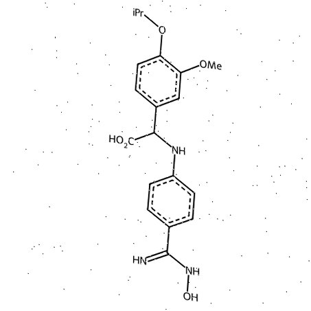 COc1cc(C(Nc2ccc(C(=N)NO)cc2)C(=O)O)ccc1OC(C)C